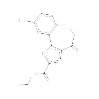 CCOC(=O)c1nc2c(s1)C(=O)COc1ccc(Br)cc1-2